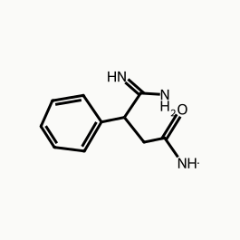 [NH]C(=O)CC(C(=N)N)c1ccccc1